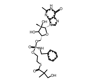 Cc1nc2c(ncn2[C@@H]2O[C@H](COP(=O)(NCc3ccccc3)OCCSC(=O)C(C)(C)CO)C(O)[C@]2(C)O)c(=O)[nH]1